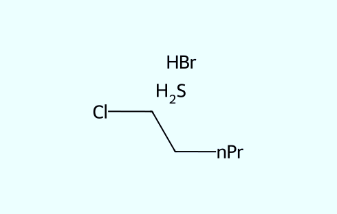 Br.CCCCCCl.S